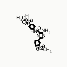 CCS(=O)(=O)c1cccc(-c2cnc(N)c(C(=O)Nc3ccc(S(=O)(=O)NC(C)=O)cc3)n2)c1